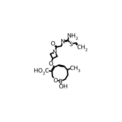 C=CS/C(N)=N\CC(=O)N1CC(OC2=C(\C(=O)O)COB(O)CCC(C)/C=C\2)C1